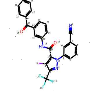 N#Cc1cccc(-n2nc(C(F)(F)F)c(I)c2C(=O)Nc2cccc(C(=O)c3ccccc3)c2)c1